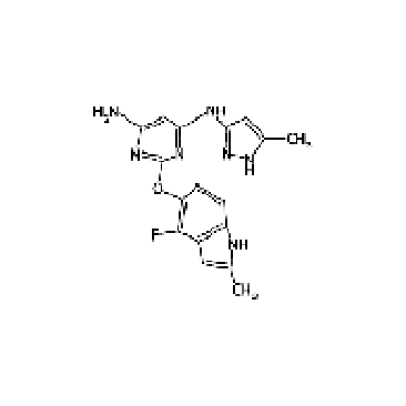 Cc1cc(Nc2cc(N)nc(Oc3ccc4[nH]c(C)cc4c3F)n2)n[nH]1